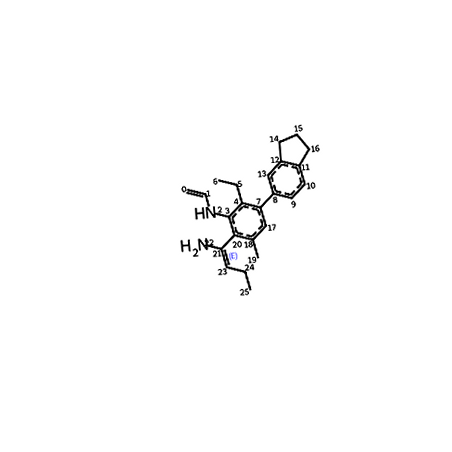 C=CNc1c(CC)c(-c2ccc3c(c2)CCC3)cc(C)c1/C(N)=C\CC